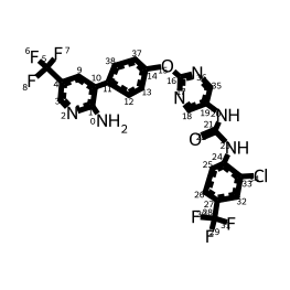 Nc1ncc(C(F)(F)F)cc1-c1ccc(Oc2ncc(NC(=O)Nc3ccc(C(F)(F)F)cc3Cl)cn2)cc1